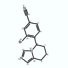 N#Cc1ccc(C2CCCc3cncn32)c(Br)c1